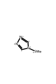 CSn1cnnc1